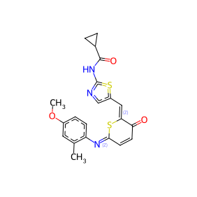 COc1ccc(/N=C2/C=CC(=O)/C(=C/c3cnc(NC(=O)C4CC4)s3)S2)c(C)c1